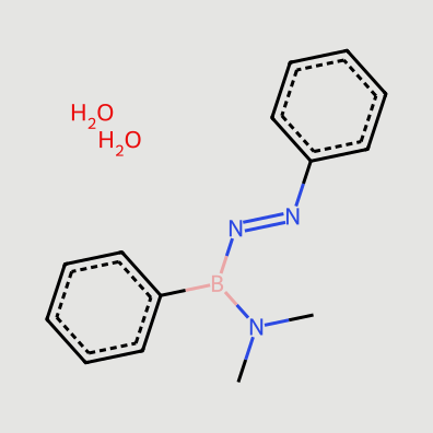 CN(C)B(N=Nc1ccccc1)c1ccccc1.O.O